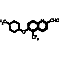 O=Cc1ccc2c(C(F)(F)F)c(OC3CCC(C(F)(F)F)CC3)ccc2n1